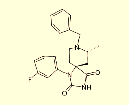 C[C@@H]1C[C@@]2(CCN1Cc1ccccc1)C(=O)NC(=O)N2c1cccc(F)c1